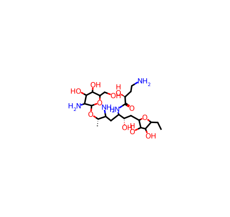 CCC1OC(C[C@H](O)C(CC(N)[C@H](C)OC2OC(CO)C(O)C(O)C2N)NC(=O)[C@@H](O)CCN)C(O)C1O